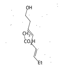 CC(=O)O.CCC=CCC=CCCO